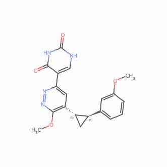 COc1cccc([C@H]2C[C@@H]2c2cc(-c3c[nH]c(=O)[nH]c3=O)nnc2OC)c1